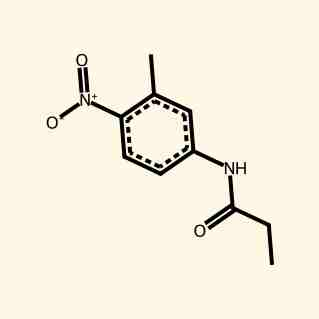 CCC(=O)Nc1ccc([N+](=O)[O-])c(C)c1